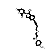 N[C@H]1CC[C@H](NCCOCCC#Cc2ccc3c(c2)CN(C2CCC(=O)NC2=O)C3O)CC1